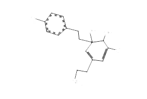 NCCC1=CC(O)(CCc2ccc(O)cc2)C(O)C(Cl)=C1